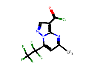 Cc1cc(C(F)(F)C(F)(F)F)n2ncc(C(=O)Cl)c2n1